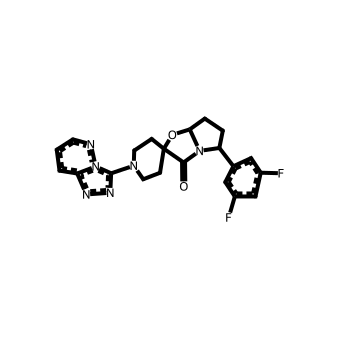 O=C1N2C(CCC2c2cc(F)cc(F)c2)OC12CCN(c1nnc3cccnn13)CC2